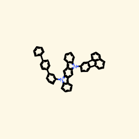 c1ccc(-c2ccc(-c3cccc(-n4c5ccccc5c5cc6c(cc54)c4ccccc4n6-c4ccc5c(c4)-c4cccc6cccc-5c46)c3)cc2)cc1